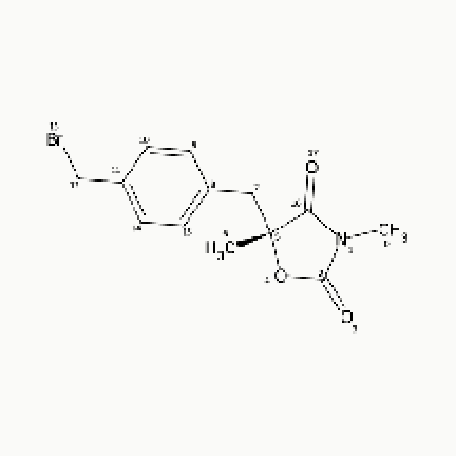 CN1C(=O)O[C@](C)(Cc2ccc(CBr)cc2)C1=O